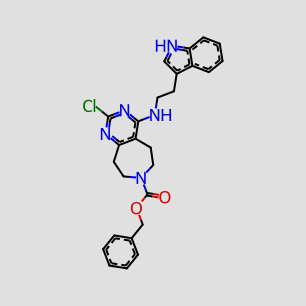 O=C(OCc1ccccc1)N1CCc2nc(Cl)nc(NCCc3c[nH]c4ccccc34)c2CC1